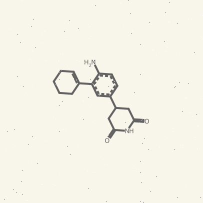 Nc1ccc(C2CC(=O)NC(=O)C2)cc1C1=CCCCC1